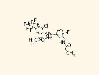 CCC(=O)NCc1cc(-c2cnn(-c3c(Cl)cc(C(F)(C(F)(F)F)C(F)(F)F)cc3[S+](C)[O-])c2)ccc1F